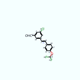 O=Cc1cc(Cl)cc(/C=C/c2ccc(OC(F)F)cc2)c1